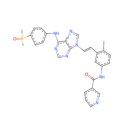 Cc1ccc(NC(=O)c2cccnc2)cc1/C=C/n1cnc2c(Nc3ccc(P(C)(C)=O)cc3)ncnc21